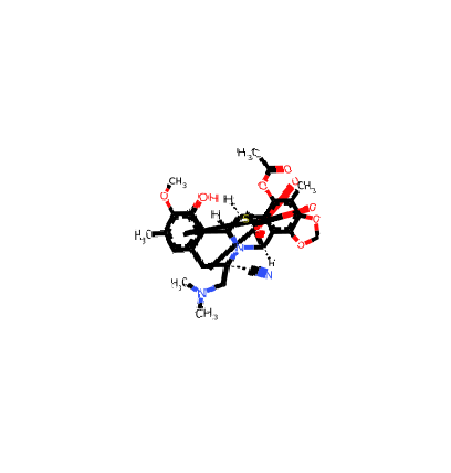 COc1c(C)cc2c(c1O)[C@@H]1[C@@H]3SCC(=O)C(=O)OC[C@@H](c4c5c(c(C)c(OC(C)=O)c43)OCO5)N1[C@@](C#N)(CN(C)C)C2